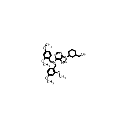 COc1ccc(CN(Cc2ccc(OC)cc2OC)c2ncnc3c2nnn3C2CCCC(CO)C2)c(OC)c1